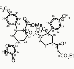 CCOC(=O)CC(=O)[C@H]1CCN(C(=O)O)[C@](C)(c2ccc(C(F)(F)F)cc2)C1.COC(=O)N1CC[C@H](c2cc(=O)[nH]o2)C[C@H]1c1ccc(C(F)(F)F)cc1